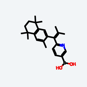 CC(C)=C(c1ccc(B(O)O)cn1)c1cc2c(cc1C)C(C)(C)CCC2(C)C